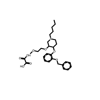 CCCCCN1CCC(Oc2ccccc2OCc2ccccc2)C(OCCOC)C1.O=C(O)C(=O)O